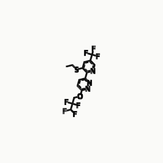 CCSc1cc(C(F)(F)F)cnc1-c1ccc(OCC(F)(F)C(F)F)nn1